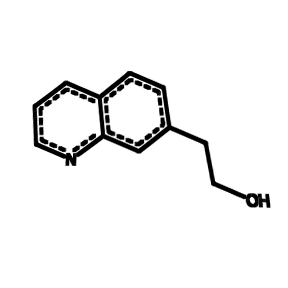 OCCc1ccc2cccnc2c1